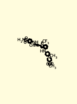 COc1cc(S(N)(=O)=O)ccc1NCC#Cc1cc2c(NC3CCC(C)(N4CCC(S(C)(=O)=O)CC4)CC3)cccc2n1CC(F)(F)F